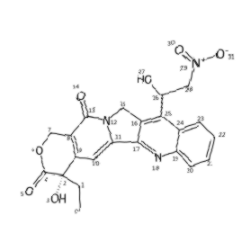 CC[C@@]1(O)C(=O)OCc2c1cc1n(c2=O)Cc2c-1nc1ccccc1c2C(O)C[N+](=O)[O-]